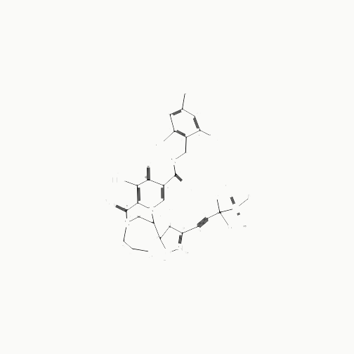 Cc1cc(F)c(CNC(=O)c2cn3c(c(O)c2=O)C(=O)N2C[C@@H]3[C@@]3(CC[C@@H]2C)CC(C#CC(C)(C)S(C)(=O)=O)=NO3)c(F)c1